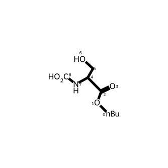 CCCCOC(=O)C(CO)NC(=O)O